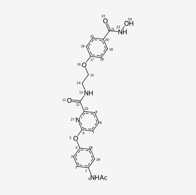 CC(=O)Nc1ccc(Oc2cccc(C(=O)NCCOc3ccc(C(=O)NO)cc3)n2)cc1